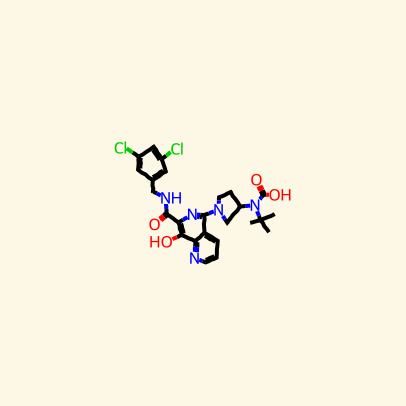 CC(C)(C)N(C(=O)O)C1CCN(c2nc(C(=O)NCc3cc(Cl)cc(Cl)c3)c(O)c3ncccc23)C1